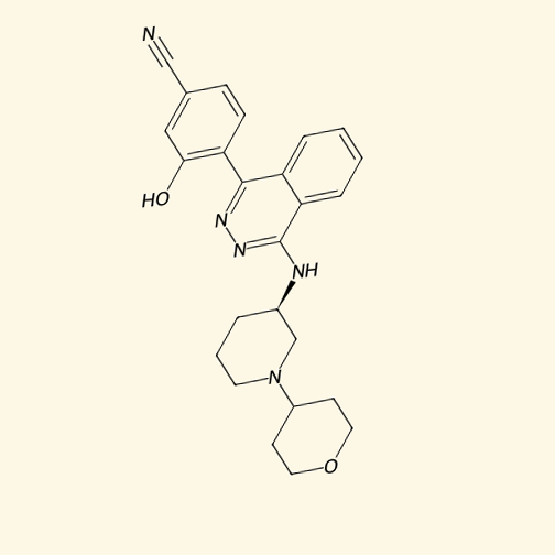 N#Cc1ccc(-c2nnc(N[C@@H]3CCCN(C4CCOCC4)C3)c3ccccc23)c(O)c1